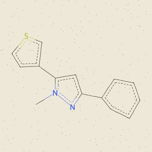 Cn1nc(-c2ccccc2)cc1-c1ccsc1